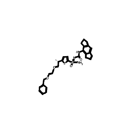 C[C@@H](COCCOCc1ccccc1)c1ccc(S(N)(=O)=NC(=O)Nc2c3c(cc4c2CCC4)CCC3)s1